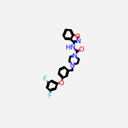 O=C(Nc1noc2ccccc12)N1CCN(Cc2cccc(Oc3cc(F)cc(F)c3)c2)CC1